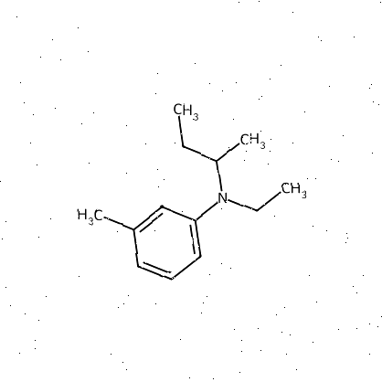 CCC(C)N(CC)c1cccc(C)c1